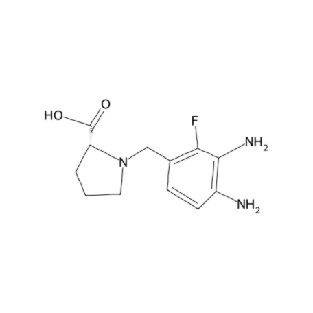 Nc1ccc(CN2CCC[C@@H]2C(=O)O)c(F)c1N